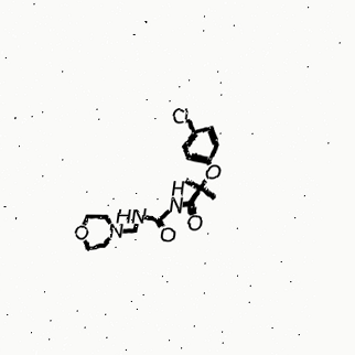 CC(C)(Oc1ccc(Cl)cc1)C(=O)NC(=O)NCN1CCOCC1